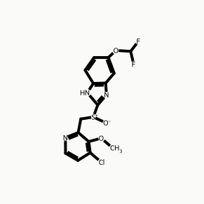 COc1c(Cl)ccnc1C[S+]([O-])c1nc2cc(OC(F)F)ccc2[nH]1